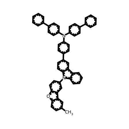 Cc1ccc2oc3ccc(-n4c5ccccc5c5cc(-c6ccc(N(c7ccc(-c8ccccc8)cc7)c7ccc(-c8ccccc8)cc7)cc6)ccc54)cc3c2c1